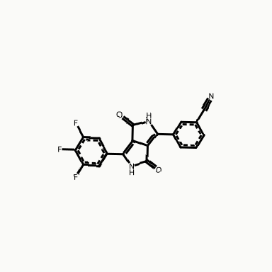 N#Cc1cccc(C2=C3C(=O)NC(c4cc(F)c(F)c(F)c4)=C3C(=O)N2)c1